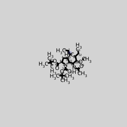 C/C=C\[C@@H]1C[C@H](C(=O)OC(C)(C)C)N(C(=O)OC(C)(C)C)[C@H]1[C@@H](NC(C)=O)[C@@H](OC)[C@@H](C)CC